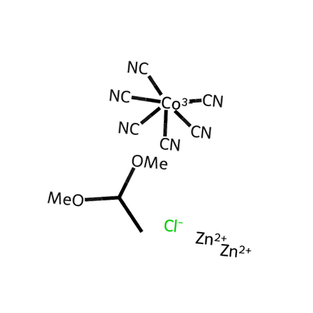 COC(C)OC.N#[C][Co-3]([C]#N)([C]#N)([C]#N)([C]#N)[C]#N.[Cl-].[Zn+2].[Zn+2]